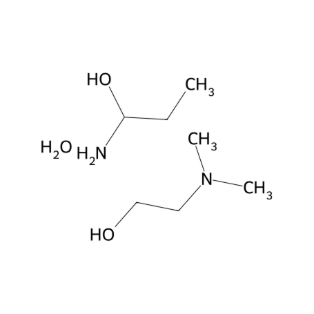 CCC(N)O.CN(C)CCO.O